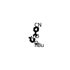 CCCCOc1ccc(C)[n+](CC(=O)c2ccc(C#N)cc2)c1